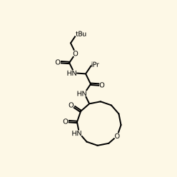 CC(C)C(NC(=O)OCC(C)(C)C)C(=O)NC1CCCCOCCCNC(=O)C1=O